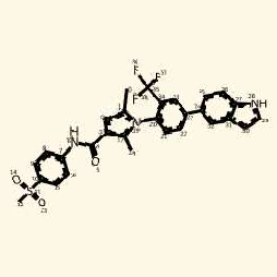 Cc1cc(C(=O)Nc2ccc(S(C)(=O)=O)cc2)c(C)n1-c1ccc(-c2ccc3[nH]ccc3c2)cc1C(F)(F)F